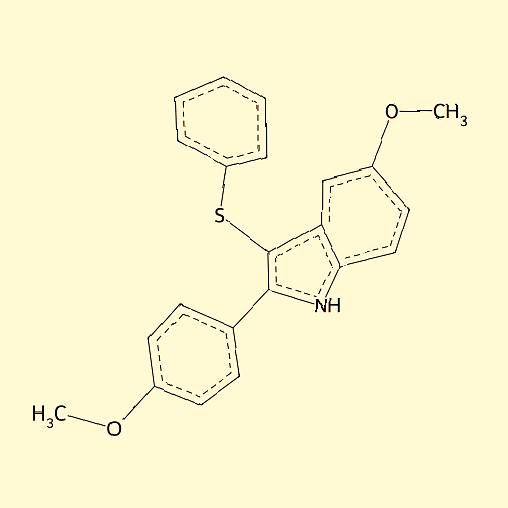 COc1ccc(-c2[nH]c3ccc(OC)cc3c2Sc2ccccc2)cc1